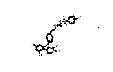 CCN1CCc2c(n(-c3ccc(CCNC(=O)NS(=O)(=O)c4ccc(Cl)cc4)cc3)c3cc(Cl)cc(Cl)c23)C1=O